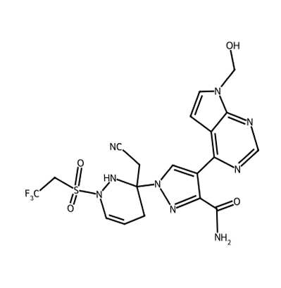 N#CCC1(n2cc(-c3ncnc4c3ccn4CO)c(C(N)=O)n2)CC=CN(S(=O)(=O)CC(F)(F)F)N1